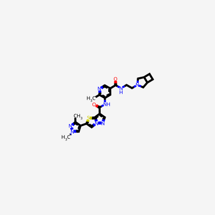 Cc1ncc(C(=O)NCCN2CC3CCC3C2)cc1NC(=O)c1cnn2cc(-c3cn(C)nc3C)sc12